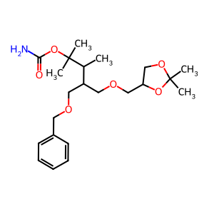 CC(C(COCc1ccccc1)COCC1COC(C)(C)O1)C(C)(C)OC(N)=O